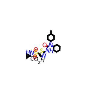 CC1CCC(N(C(=O)Nc2ncc(S(=O)(=O)NC3(C(=O)O)CC3)s2)C2CCCCC2)CC1